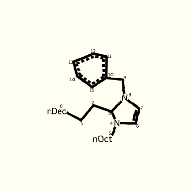 CCCCCCCCCCCCC1N(CCCCCCCC)C=CN1Cc1ccccc1